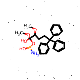 COC(CCC(c1ccccc1)(c1ccccc1)c1ccccc1)C(O)(OC)OP(N)O